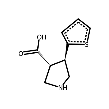 O=C(O)[C@H]1CNC[C@@H]1c1cccs1